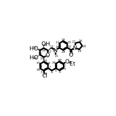 CCOc1ccc(Cc2cc([C@@H]3O[C@H](CN(C)c4cccc(C(=O)N5CCCC5)c4)[C@@H](O)[C@H](O)[C@H]3O)ccc2Cl)cc1